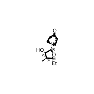 CC[C@H]1O[C@@H](n2ccc(=O)cc2)[C@@H](O)[C@@H]1C